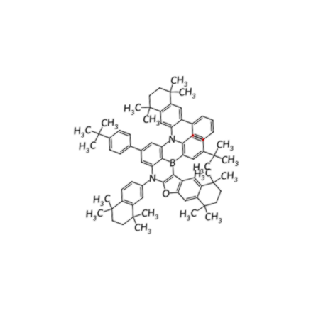 CC(C)(C)c1ccc(-c2cc3c4c(c2)N(c2ccc5c(c2)C(C)(C)CCC5(C)C)c2oc5cc6c(cc5c2B4c2cc(C(C)(C)C)ccc2N3c2cc3c(cc2-c2ccccc2)C(C)(C)CCC3(C)C)C(C)(C)CCC6(C)C)cc1